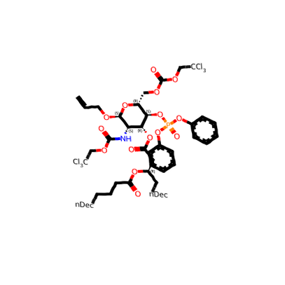 C=CCO[C@H]1O[C@H](COC(=O)OCC(Cl)(Cl)Cl)[C@@H](OP(=O)(Oc2ccccc2)Oc2ccccc2)[C@H](OC(=O)C[C@@H](CCCCCCCCCCC)OC(=O)CCCCCCCCCCCCC)[C@@H]1NC(=O)OCC(Cl)(Cl)Cl